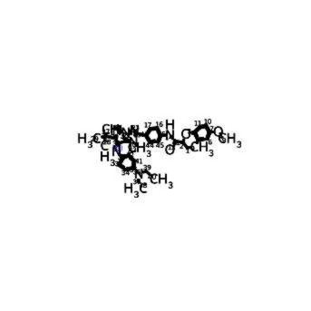 CCC(Oc1ccc(OC)cc1)C(=O)Nc1ccc(-c2nc3n(n2)N=C(C(C)(C)C)/C3=N/c2ccc(N(CC)CC)cc2C)cc1